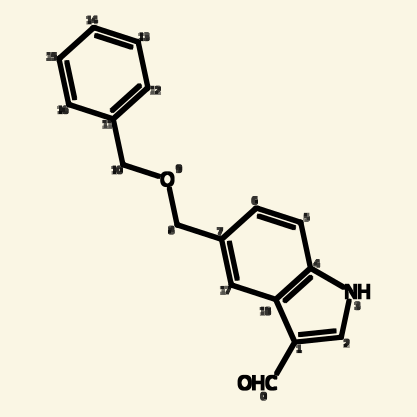 O=Cc1c[nH]c2ccc(COCc3ccccc3)cc12